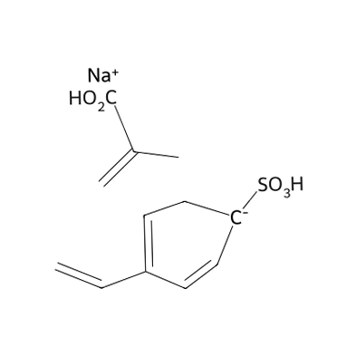 C=C(C)C(=O)O.C=CC1=CC[C-](S(=O)(=O)O)C=C1.[Na+]